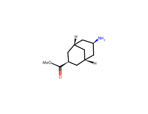 COC(=O)[C@H]1C[C@@H]2C[C@@H](N)C[C@@H](C2)C1